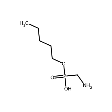 CCCCCOP(=O)(O)CN